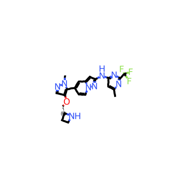 Cc1cc(Nc2cc3cc(-c4c(OC[C@H]5CCN5)cnn4C)ccn3n2)nc(C(F)(F)F)n1